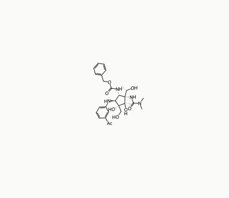 CC(=O)c1cccc(N[C@H]2[C@H](NC(=O)OCc3ccccc3)[C@@](NC(=O)N(C)C)([C@H](C)O)[C@@](C)(O)[C@@]2(O)CO)c1